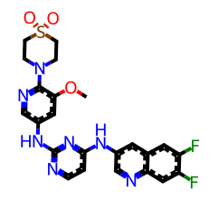 COc1cc(Nc2nccc(Nc3cnc4cc(F)c(F)cc4c3)n2)cnc1N1CCS(=O)(=O)CC1